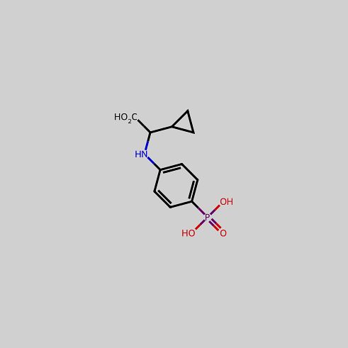 O=C(O)C(Nc1ccc(P(=O)(O)O)cc1)C1CC1